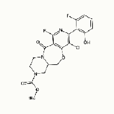 CC(C)(C)OC(=O)N1CCN2C(=O)c3c(F)nc(-c4c(O)cccc4F)c(Cl)c3OCC2C1